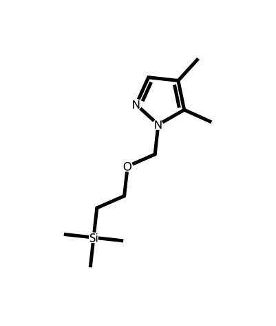 Cc1cnn(COCC[Si](C)(C)C)c1C